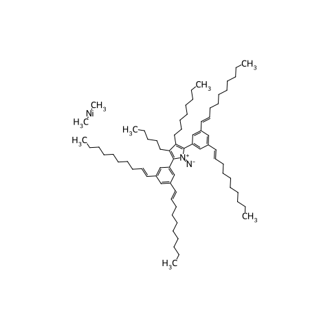 CCCCCCCCC=Cc1cc(C=CCCCCCCCC)cc(C2=C(CCCCC)C(CCCCCCCC)=C(c3cc(C=CCCCCCCCC)cc(C=CCCCCCCCC)c3)[N+]2=[N-])c1.[CH3][Ni][CH3]